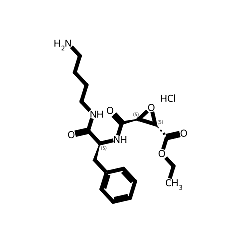 CCOC(=O)[C@H]1O[C@@H]1C(=O)N[C@@H](Cc1ccccc1)C(=O)NCCCCN.Cl